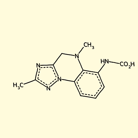 Cc1nc2n(n1)-c1cccc(NC(=O)O)c1N(C)C2